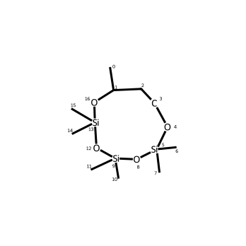 CC1CCO[Si](C)(C)O[Si](C)(C)O[Si](C)(C)O1